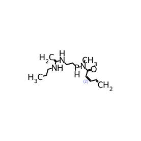 C=C/C=C\C(=O)N(C)PCCNC(=C)NCCC